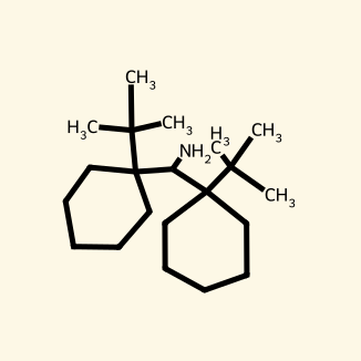 CC(C)(C)C1(C(N)C2(C(C)(C)C)CCCCC2)CCCCC1